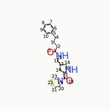 O=C(CCCc1ccccc1)NCC1CNC(C(=O)N2CCSC2)C1